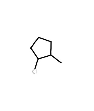 [CH2]C1CCCC1Cl